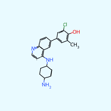 Cc1cc(-c2ccc3nc[c]c(NC4CCC(N)CC4)c3c2)cc(Cl)c1O